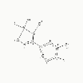 Cc1ccc(C2=NOC(C)(C)C2O)cc1Br